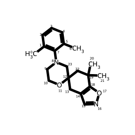 Cc1cccc(C)c1N1CCOC2(Cc3cnoc3C(C)(C)C2)C1